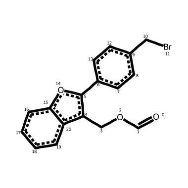 O=COCc1c(-c2ccc(CBr)cc2)oc2ccccc12